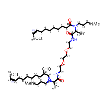 CCCCCCCC/C=C\CCCCCCCC(=O)N(CCCNC)C(C(=O)NCCOCCOCCNC(=O)C(C(C)C)N(CCCNC)CC(C=O)CCCCCC/C=C\CCCCCCCC)C(C)C